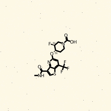 CNC(=O)c1csc2c(C(F)(F)F)cc(O[C@H]3CCN(C(=O)O)C[C@@H]3F)nc12